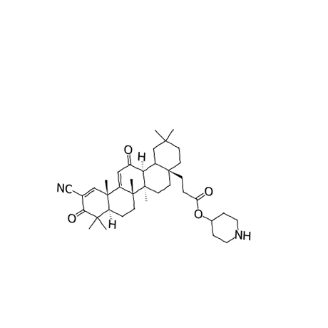 CC1(C)CC[C@]2(CCC(=O)OC3CCNCC3)CC[C@]3(C)[C@@H](C(=O)C=C4[C@@]5(C)C=C(C#N)C(=O)C(C)(C)[C@@H]5CC[C@]43C)C2C1